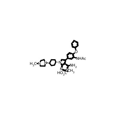 CC(=O)Nc1cc(-c2cn([C@H]3CC[C@H](N4CCN(C)CC4)CC3)c3ncnc(N)c23)ccc1Oc1ccccc1.CC(=O)O